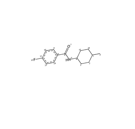 CC1CCC(NC(=O)c2ccc(F)cc2)CC1